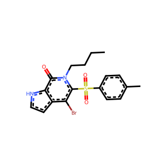 CCCCn1c(S(=O)(=O)c2ccc(C)cc2)c(Br)c2cc[nH]c2c1=O